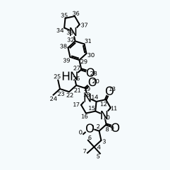 COC(CC(C)(C)C)C(=O)N1CC(=O)C2C1CCN2C(=O)C(CC(C)C)NC(=O)c1ccc(N2CCCC2)cc1